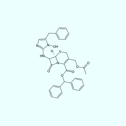 CC(=O)OCC1=C(C(=O)OC(c2ccccc2)c2ccccc2)N2C(=O)C(Nc3ncc(Cc4ccccc4)n3O)[C@H]2SC1